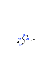 [CH2]CCn1cnc2ncncc21